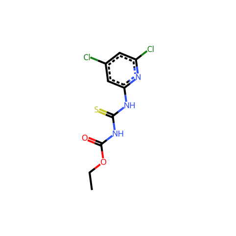 CCOC(=O)NC(=S)Nc1cc(Cl)cc(Cl)n1